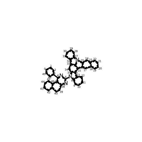 c1ccc(-c2nc(-n3c4ccccc4c4c5c6cc7ccccc7cc6n6c7ccccc7c(cc43)c56)nc3ccc4ccccc4c23)cc1